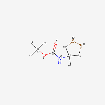 CC1(NC(=O)OC(C)(C)C)CSSC1